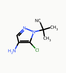 CC(C)(C#N)n1ncc(N)c1Cl